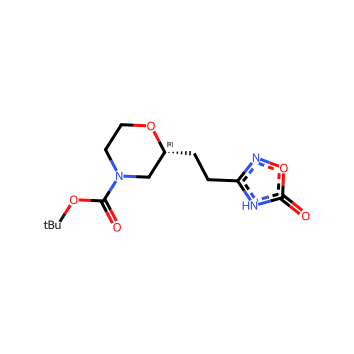 CC(C)(C)OC(=O)N1CCO[C@H](CCc2noc(=O)[nH]2)C1